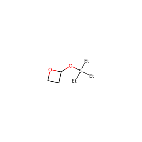 CC[Si](CC)(CC)OC1CCO1